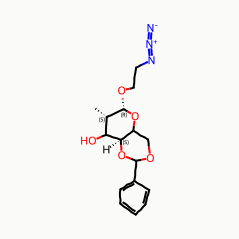 C[C@H]1C(O)[C@@H]2OC(c3ccccc3)OCC2O[C@H]1OCCN=[N+]=[N-]